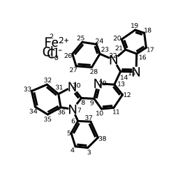 [Cl-].[Cl-].[Fe+2].c1ccc(-n2c(-c3cccc(-c4nc5ccccc5n4-c4ccccc4)n3)nc3ccccc32)cc1